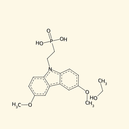 CCO.COc1ccc2c(c1)c1cc(OC)ccc1n2CCP(=O)(O)O